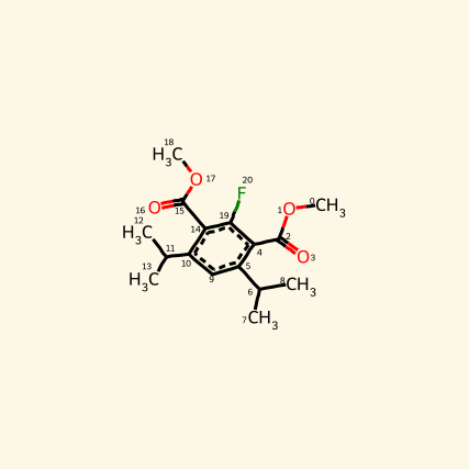 COC(=O)c1c(C(C)C)cc(C(C)C)c(C(=O)OC)c1F